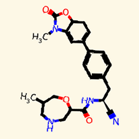 CC1CNCC(C(=O)N[C@H](C#N)Cc2ccc(C3=CCC4OC(=O)N(C)C4=C3)cc2)OC1